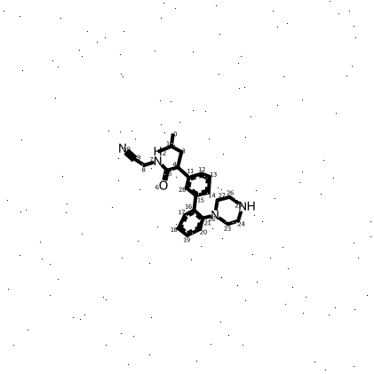 CC(C)CC(C(=O)NCC#N)c1cccc(-c2ccccc2N2CCNCC2)c1